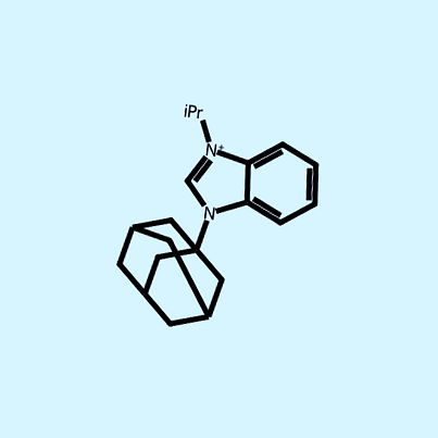 CC(C)[n+]1cn(C23CC4CC(CC(C4)C2)C3)c2ccccc21